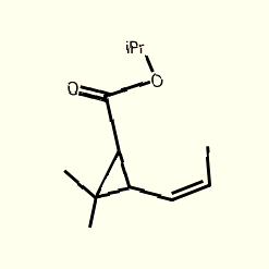 C/C=C\C1C(C(=O)OC(C)C)C1(C)C